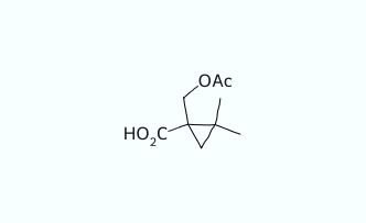 CC(=O)OCC1(C(=O)O)CC1(C)C